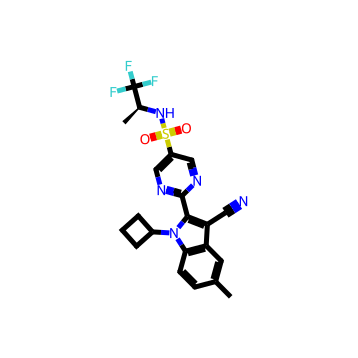 Cc1ccc2c(c1)c(C#N)c(-c1ncc(S(=O)(=O)N[C@@H](C)C(F)(F)F)cn1)n2C1CCC1